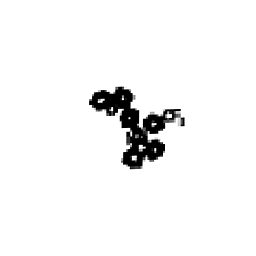 FC(F)(F)c1ccc(-n2c(-c3ccc(-c4cccc5c6c(oc45)CCC=C6)cc3)nc3c4ccccc4c4ccccc4c32)cc1